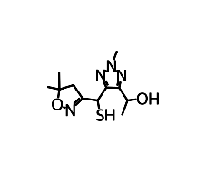 CC(O)c1nn(C)nc1C(S)C1=NOC(C)(C)C1